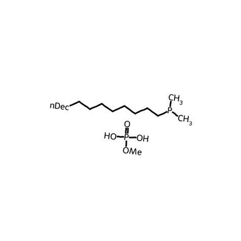 CCCCCCCCCCCCCCCCCCP(C)C.COP(=O)(O)O